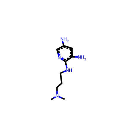 CN(C)CCCNc1ncc(N)cc1N